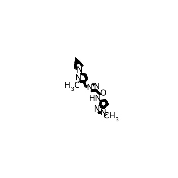 Cc1nc(N2CC3CC3C2)ccc1Cn1cnc(C(=O)N[C@@H]2CCc3c2ncn3C)c1